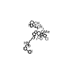 COC(=O)C1(N(C(=O)C(F)(F)F)c2cccc(Cl)c2)CCC2(CC1)c1cc(OCCCCNC(=O)Cc3cccc(-c4cccnc4)c3)ccc1C[C@@H]2C[C@@H](C)COc1ccnc2c1[C@H](C)CCC2